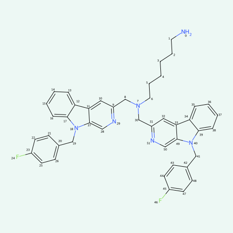 NCCCCCCN(Cc1cc2c3ccccc3n(Cc3ccc(F)cc3)c2cn1)Cc1cc2c3ccccc3n(Cc3ccc(F)cc3)c2cn1